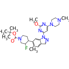 COc1nc(N2CCN(C)CC2)cc(-n2ncc3cc(C)c(C4CCN(C(=O)OC(C)(C)C)CC4F)cc32)n1